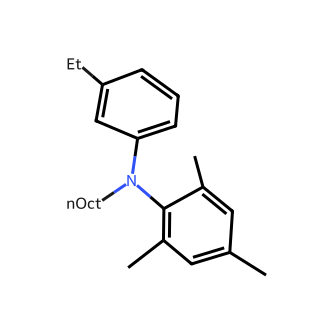 CCCCCCCCN(c1cccc(CC)c1)c1c(C)cc(C)cc1C